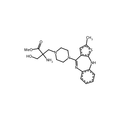 COC(=O)C(N)(CO)CN1CCN(C2=Nc3ccccc3Nc3sc(C)cc32)CC1